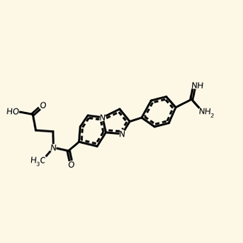 CN(CCC(=O)O)C(=O)c1ccn2cc(-c3ccc(C(=N)N)cc3)nc2c1